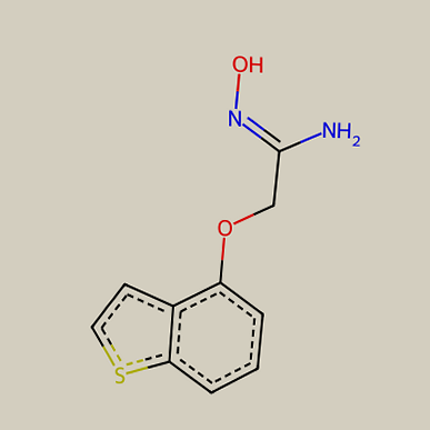 NC(COc1cccc2sccc12)=NO